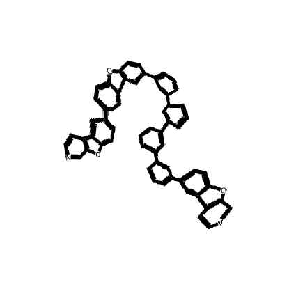 c1cc(-c2cccc(-c3cccc(-c4ccc5oc6ccc(-c7ccc8oc9cnccc9c8c7)cc6c5c4)c3)c2)cc(-c2cccc(-c3ccc4oc5cnccc5c4c3)c2)c1